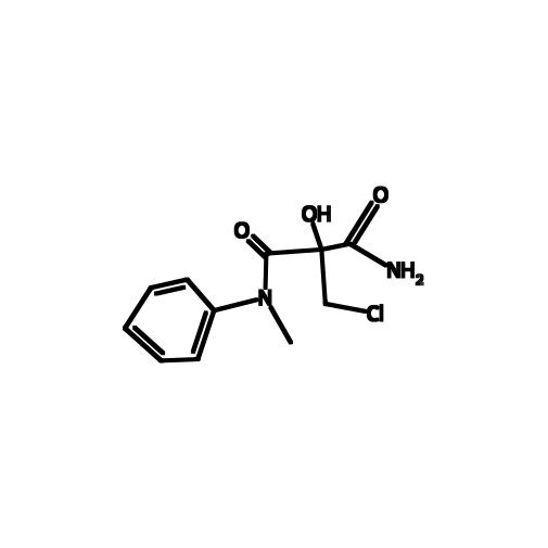 CN(C(=O)C(O)(CCl)C(N)=O)c1ccccc1